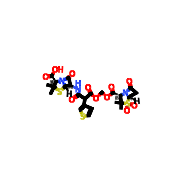 CC1(C)S[C@@H]2[C@H](NC(=O)C(C(=O)OCOC(=O)[C@@H]3N4C(=O)C[C@H]4S(=O)(=O)C3(C)C)c3ccsc3)C(=O)N2[C@H]1C(=O)O